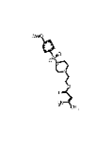 COc1ccc(S(=O)(=O)N2CCN(CCOC(=O)/C=C(/C)N)CC2)cc1